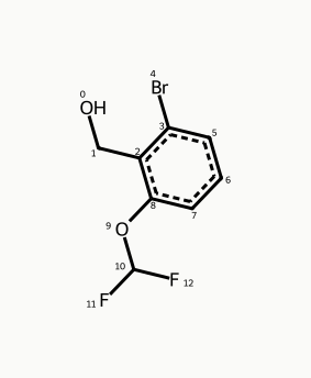 OCc1c(Br)cccc1OC(F)F